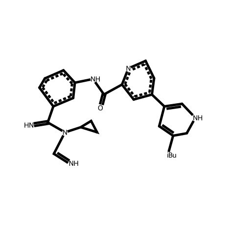 CCC(C)C1=CC(c2ccnc(C(=O)Nc3cccc(C(=N)N(C=N)C4CC4)c3)c2)=CNC1